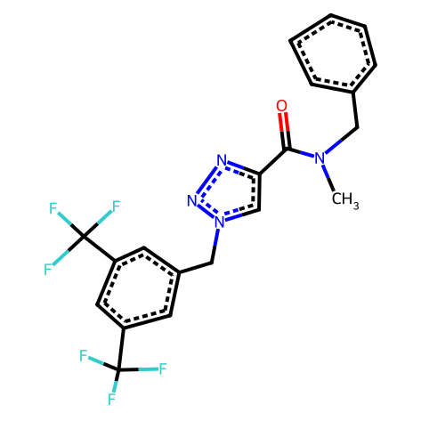 CN(Cc1ccccc1)C(=O)c1cn(Cc2cc(C(F)(F)F)cc(C(F)(F)F)c2)nn1